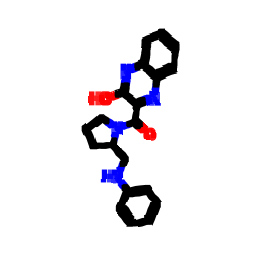 O=C(c1nc2ccccc2nc1O)N1CCCC1CNc1ccccc1